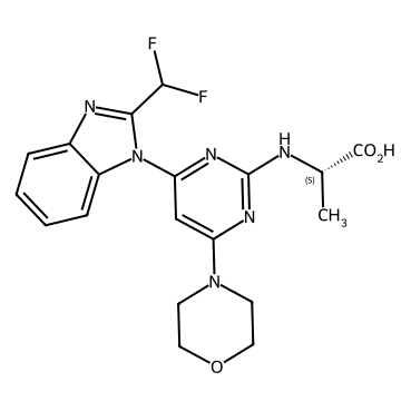 C[C@H](Nc1nc(N2CCOCC2)cc(-n2c(C(F)F)nc3ccccc32)n1)C(=O)O